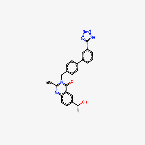 CCCCc1nc2ccc(C(C)O)cc2c(=O)n1Cc1ccc(-c2cccc(-c3nnn[nH]3)c2)cc1